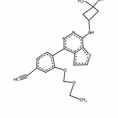 C#Cc1ccc(-c2nnc(NC3CC(C)(O)C3)c3sccc23)c(OCOCC)c1